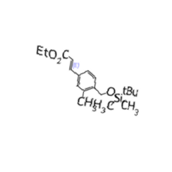 CCOC(=O)/C=C/c1ccc(CO[Si](C)(C)C(C)(C)C)c(C)c1